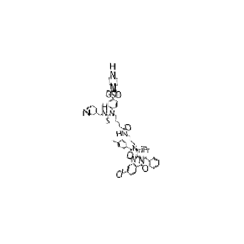 Cc1ccc(C(=O)N(CCCNC(=O)CCCCN(C(=S)NCc2cccnc2)c2ccc(S(=O)(=O)N3CCNCC3)cc2)[C@@H](c2nc3cc(Cl)ccc3c(=O)n2Cc2ccccc2)C(C)C)cc1